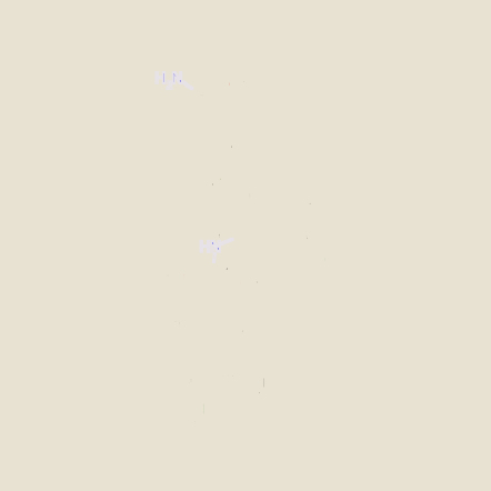 NC(=O)CCSc1ccc(Cl)cc1NS(=O)(=O)c1ccc(Cl)c(C(F)(F)F)c1